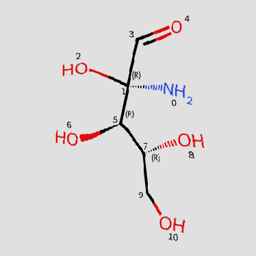 N[C@](O)(C=O)[C@H](O)[C@H](O)CO